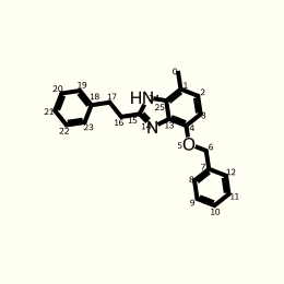 Cc1ccc(OCc2ccccc2)c2nc(CCc3ccccc3)[nH]c12